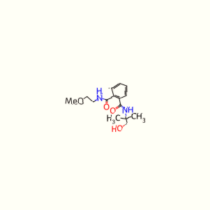 COCCNC(=O)c1[c]cccc1C(=O)NC(C)(C)CO